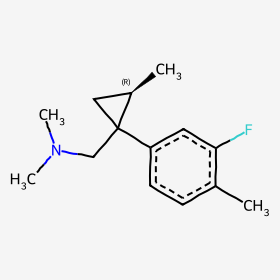 Cc1ccc(C2(CN(C)C)C[C@H]2C)cc1F